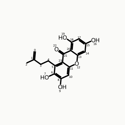 C=C(C)CCc1c(O)c(O)cc2oc3cc(O)cc(O)c3c(=O)c12